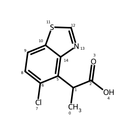 CC(C(=O)O)c1c(Cl)ccc2scnc12